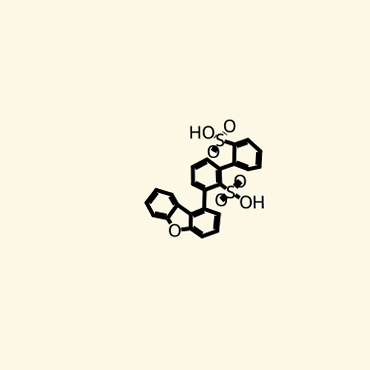 O=S(=O)(O)c1ccccc1-c1cccc(-c2cccc3oc4ccccc4c23)c1S(=O)(=O)O